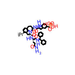 CC(C)c1ccc2c3c1C[C@@H](C(=O)N[C@@H](CCC(N)=O)C(=O)NC(c1ccccc1)c1ccccc1)N3C(=O)[C@@H](NC(=O)c1cc3cc(C(=O)P(=O)(O)O)ccc3[nH]1)CC2